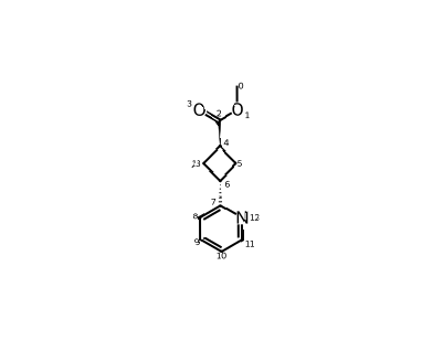 COC(=O)[C@H]1C[C@H](c2ccccn2)C1